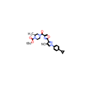 C[C@H]1CN(C(=O)c2coc(-c3nn(-c4ccc(C5CC5)cc4)cc3C#N)n2)CCN1C(=O)OC(C)(C)C